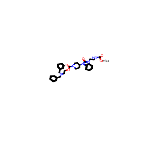 CC(C)(C)OC(=O)NCCn1c(=O)n(C2CCN(C(=O)OCCN(Cc3ccccc3)Cc3ccccc3)CC2)c2ccccc21